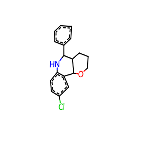 Clc1ccc2c(c1)C1OCCCC1C(c1ccccc1)N2